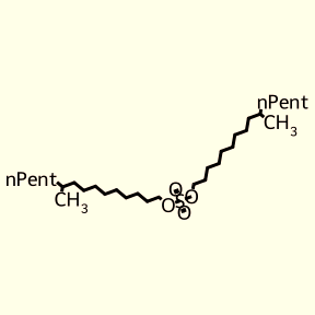 CCCCCC(C)CCCCCCCCCOS(=O)(=O)OCCCCCCCCCC(C)CCCCC